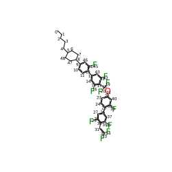 CCCCCC1CCC(c2ccc(-c3cc(F)c(C(F)(F)Oc4ccc(-c5cc(F)c(C=C(F)F)c(F)c5)c(F)c4)c(F)c3)c(F)c2)CC1